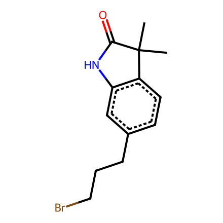 CC1(C)C(=O)Nc2cc(CCCBr)ccc21